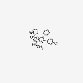 CNC(=NS(=O)(=O)C1CCCCN1)N1C[C@H](c2ccccc2)C(c2ccc(Cl)cc2)=N1